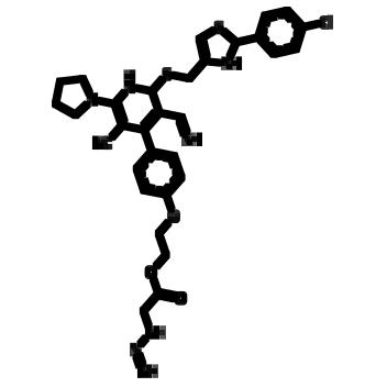 N#CC1=C(N2CCCC2)NC(SCC2=CSC(c3ccc(Cl)cc3)N2)C(C=N)=C1c1ccc(OCCOC(=O)CNN=N)cc1